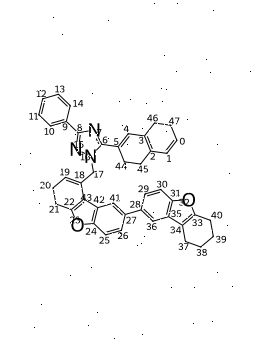 C1=CC2=C(C=C(c3nc(-c4ccccc4)nn3CC3=CCCc4oc5ccc(-c6ccc7oc8c(c7c6)CCCC8)cc5c43)CC2)CC1